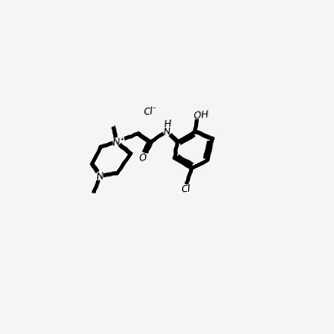 CN1CC[N+](C)(CC(=O)Nc2cc(Cl)ccc2O)CC1.[Cl-]